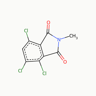 CN1C(=O)c2c(Cl)cc(Cl)c(Cl)c2C1=O